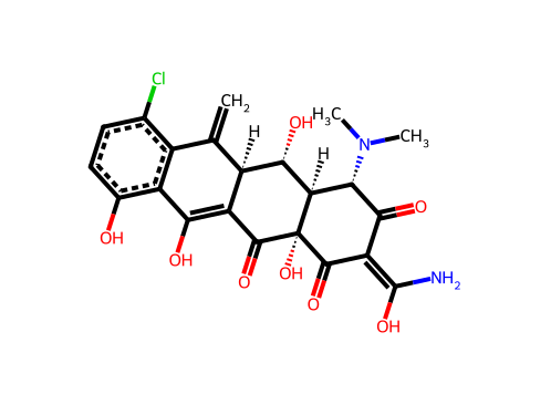 C=C1c2c(Cl)ccc(O)c2C(O)=C2C(=O)[C@]3(O)C(=O)/C(=C(/N)O)C(=O)[C@@H](N(C)C)[C@@H]3[C@@H](O)[C@H]12